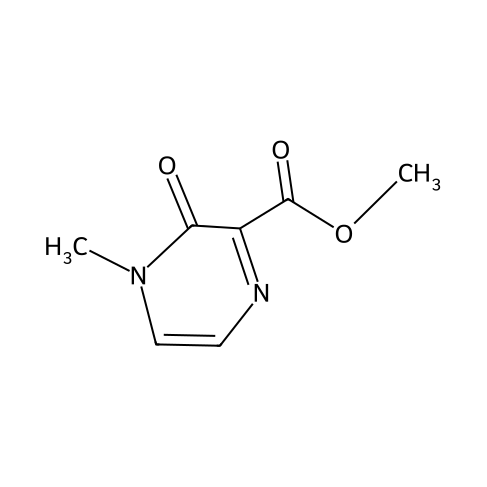 COC(=O)c1nccn(C)c1=O